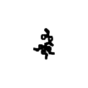 C=CC(=O)OC(C)C[Si](OCC)(OCC)OCC